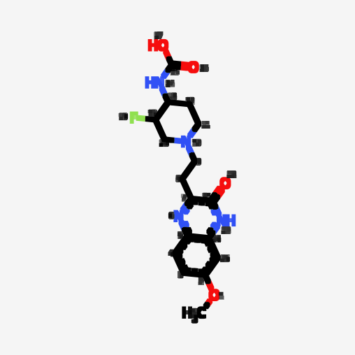 COc1ccc2nc(CCN3CCC(NC(=O)O)C(F)C3)c(=O)[nH]c2c1